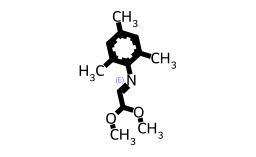 COC(/C=N/c1c(C)cc(C)cc1C)OC